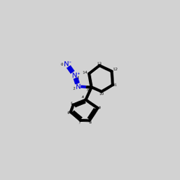 [N-]=[N+]=NC1(c2ccccc2)CCCCC1